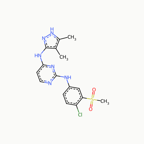 Cc1[nH]nc(Nc2ccnc(Nc3ccc(Cl)c(S(C)(=O)=O)c3)n2)c1C